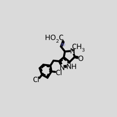 CN1C(=O)c2[nH]nc(Cc3ccc(Cl)cc3Cl)c2C1/C=C/C(=O)O